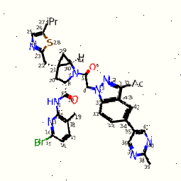 CC(=O)c1nn(CC(=O)N2[C@H](C(=O)Nc3nc(Br)ccc3C)C[C@@]3(Cc4ncc(C(C)C)s4)C[C@@H]23)c2ccc(-c3cnc(C)nc3)cc12